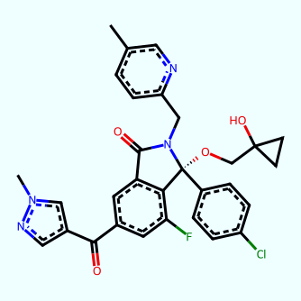 Cc1ccc(CN2C(=O)c3cc(C(=O)c4cnn(C)c4)cc(F)c3[C@]2(OCC2(O)CC2)c2ccc(Cl)cc2)nc1